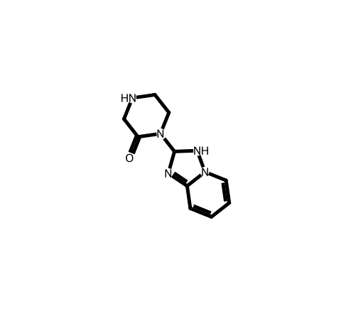 O=C1CNCCN1C1N=C2C=CC=CN2N1